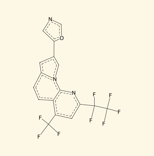 FC(F)(F)c1cc(C(F)(F)C(F)(F)F)nc2c1ccc1cc(-c3cnco3)cn12